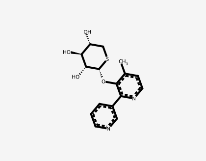 Cc1ccnc(-c2cccnc2)c1O[C@H]1SC[C@@H](O)[C@H](O)[C@H]1O